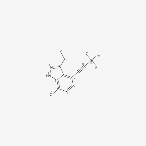 CCc1n[nH]c2c(Cl)ccc(C#C[Si](C)(C)C)c12